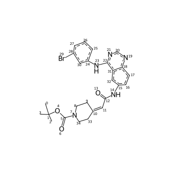 CC(C)(C)OC(=O)N1CCC(=CC(=O)Nc2ccc3ncnc(Nc4cccc(Br)c4)c3c2)CC1